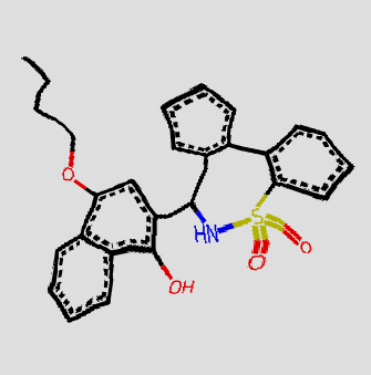 CCCCOc1cc(C2NS(=O)(=O)c3ccccc3-c3ccccc32)c(O)c2ccccc12